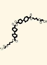 C=CC(=O)OCCCCOC(=O)C1CCC(C2CCC(C(=O)OC(=O)C3CCC(C4CCC(C(=O)OCCCCOC(=O)C=C)CC4)CC3)CC2)CC1